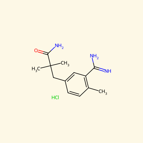 Cc1ccc(CC(C)(C)C(N)=O)cc1C(=N)N.Cl